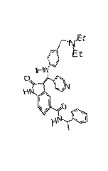 CCN(CC)Cc1ccc(N/C(=C2\C(=O)Nc3ccc(C(=O)N[C@H](C)c4ccccc4)cc32)c2ccncc2)cc1